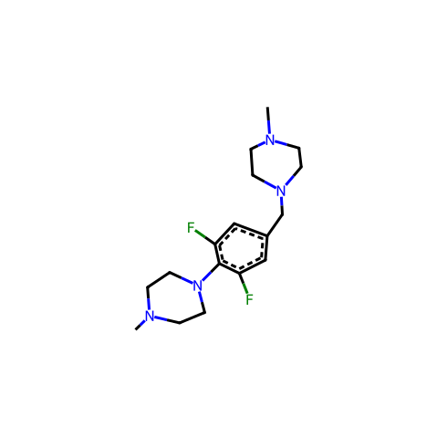 CN1CCN(Cc2cc(F)c(N3CCN(C)CC3)c(F)c2)CC1